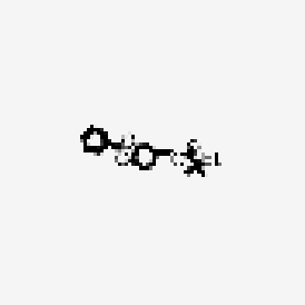 CCC(C)(C)C(=O)OCC1CCC2OC(c3ccccc3)OC2C1